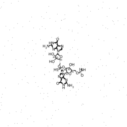 Nc1nc2c(ncn2[C@@H]2O[C@H](COP(=O)(S)O[C@@H]3[C@H](O)[C@@H](CO[PH](=O)S)O[C@H]3n3cnc4c(=O)[nH]c(N)nc43)[C@@H](O)[C@H]2O)c(=O)[nH]1